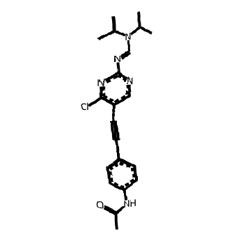 CC(=O)Nc1ccc(C#Cc2cnc(N=CN(C(C)C)C(C)C)nc2Cl)cc1